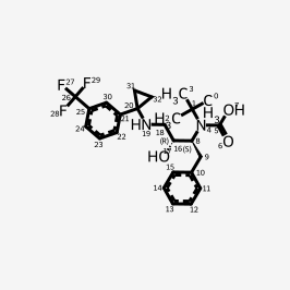 CC(C)(C)N(C(=O)O)[C@@H](Cc1ccccc1)[C@H](O)CNC1(c2cccc(C(F)(F)F)c2)CC1